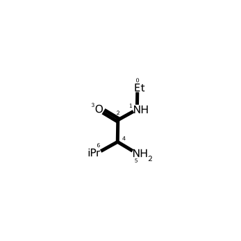 CCNC(=O)C(N)C(C)C